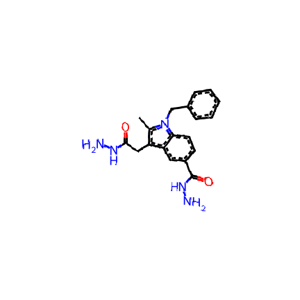 Cc1c(CC(=O)NN)c2cc(C(=O)NN)ccc2n1Cc1ccccc1